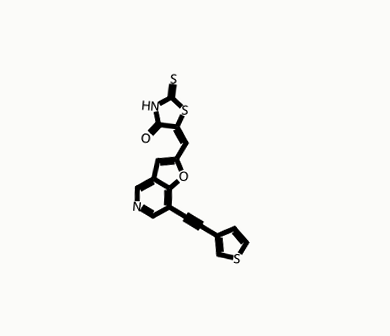 O=C1NC(=S)S/C1=C/c1cc2cncc(C#Cc3ccsc3)c2o1